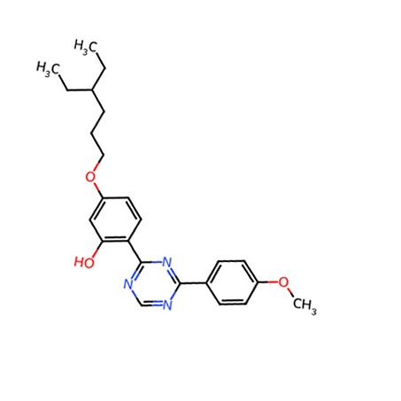 CCC(CC)CCCOc1ccc(-c2ncnc(-c3ccc(OC)cc3)n2)c(O)c1